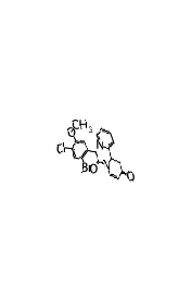 COc1cc(CC(=O)N2C=CC(=O)CC2c2ccccn2)c(Br)cc1Cl